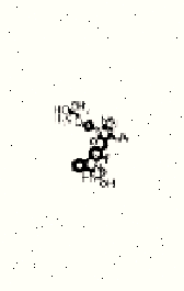 CCCc1c(Cc2ccc(-c3ccccc3C3=NOC(O)N3)cc2F)c(=O)n([C@H]2C[C@H](OCC(C)(C)O)C2)c2ncnn12